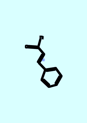 [CH2]CC(=O)/C=C/c1ccccc1